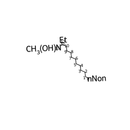 CCCCCCCCCCCCCCCCCCCC(CC)N(C)O